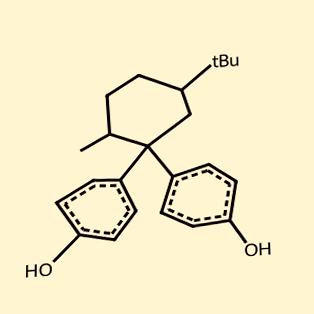 CC1CCC(C(C)(C)C)CC1(c1ccc(O)cc1)c1ccc(O)cc1